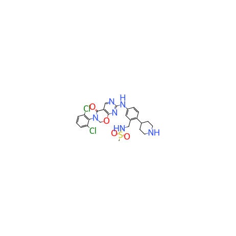 CS(=O)(=O)NCc1cc(Nc2ncc3c(n2)OCN(c2c(Cl)cccc2Cl)C3=O)ccc1C1CCNCC1